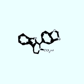 O=C(O)N1CCc2c([nH]c3ccccc23)C1c1ccc2c(c1)OCO2